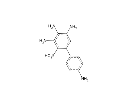 Nc1ccc(-c2cc(N)c(N)c(N)c2S(=O)(=O)O)cc1